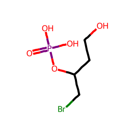 O=P(O)(O)OC(CBr)CCO